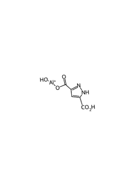 O=C([O][Al+][OH])c1cc(C(=O)O)[nH]n1